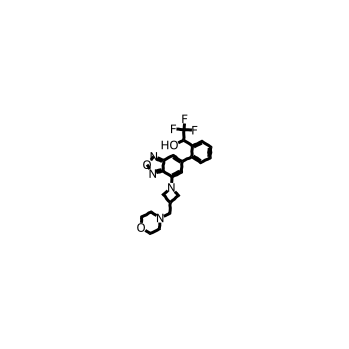 OC(c1ccccc1-c1cc(N2CC(CN3CCOCC3)C2)c2nonc2c1)C(F)(F)F